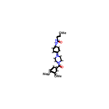 COC=CC(=O)Nc1ccc(N2CCN(C(=O)c3ccc(OC)c(OC)c3)CC2)cc1